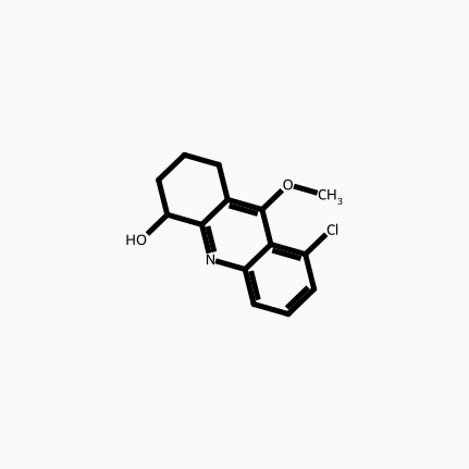 COc1c2c(nc3cccc(Cl)c13)C(O)CCC2